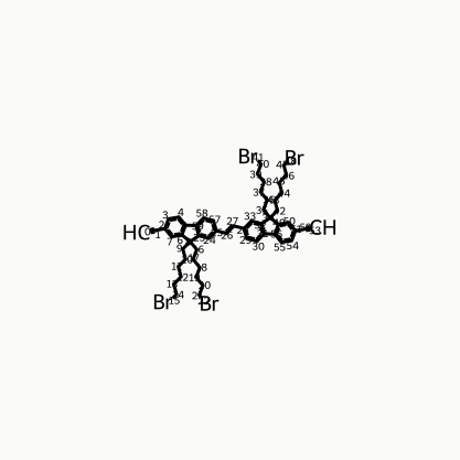 C#Cc1ccc2c(c1)C(CCCCCCBr)(CCCCCCBr)c1cc(/C=C/c3ccc4c(c3)C(CCCCCCBr)(CCCCCCBr)c3cc(C#C)ccc3-4)ccc1-2